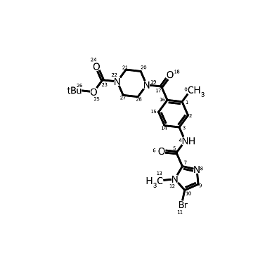 Cc1cc(NC(=O)c2ncc(Br)n2C)ccc1C(=O)N1CCN(C(=O)OC(C)(C)C)CC1